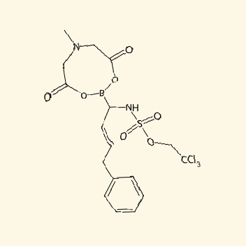 CN1CC(=O)OB(C(/C=C/Cc2ccccc2)NS(=O)(=O)OCC(Cl)(Cl)Cl)OC(=O)C1